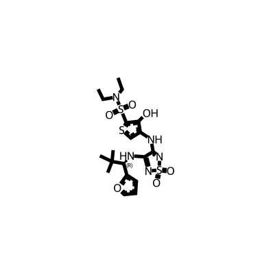 CCN(CC)S(=O)(=O)c1scc(NC2=NS(=O)(=O)N=C2N[C@@H](c2ccco2)C(C)(C)C)c1O